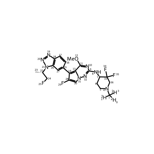 [2H]C([2H])([2H])N1CC[C@@H](Nc2nc(OC)c3c(-c4ccc5nnn([C@@H](C)CF)c5c4)c(F)cn3n2)C(F)(F)C1